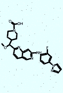 COC(c1ccc2cnc(Nc3ccc(-n4cccn4)cc3F)cc2n1)C1CCN(C(=O)O)CC1